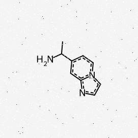 CC(N)c1ccn2ccnc2c1